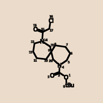 CC(C)(C)OC(=O)N1CCCCC2(CCCCN(C(=O)CCl)C2)C1